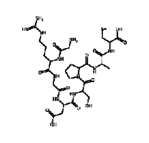 CC(NC(=O)C1CCCN1C(=O)C(CO)NC(=O)C(CC(=O)O)NC(=O)CNC(=O)C(CCCNC(=N)N)NC(=O)CN)C(=O)NC(CS)C(=O)O